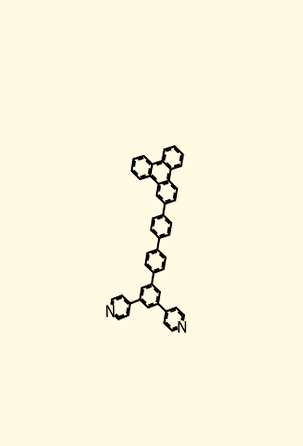 c1ccc2c(c1)c1ccccc1c1cc(-c3ccc(-c4ccc(-c5cc(-c6ccncc6)cc(-c6ccncc6)c5)cc4)cc3)ccc21